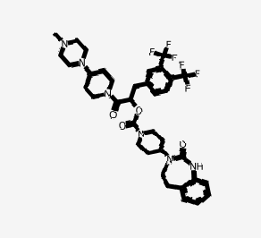 CN1CCN(C2CCN(C(=O)C(Cc3ccc(C(F)(F)F)c(C(F)(F)F)c3)OC(=O)N3CCC(N4CCc5ccccc5NC4=O)CC3)CC2)CC1